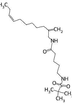 C=C(CCCCC/C=C\CC)CNC(=O)CCCCNS(=O)(=O)C(C)(C)C